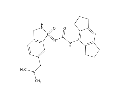 CN(C)Cc1ccc2c(c1)S(=O)(=NC(=O)Nc1c3c(cc4c1CCC4)CCC3)NC2